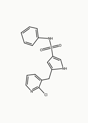 O=S(=O)(Nc1ccccc1)c1c[nH]c(Cc2cccnc2Cl)c1